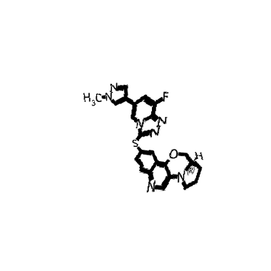 Cn1cc(-c2cc(F)c3nnc(Sc4ccc5ncc6c(c5c4)OC[C@H]4CCCN64)n3c2)cn1